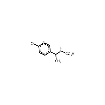 CC(NC(=O)O)c1ccc(Cl)nc1